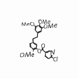 COc1ccc(CCc2cc(OC)c(OC)c(OC)c2)cc1OC(=O)c1ccc(Cl)nc1